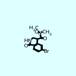 CON(C)C(=O)C1CNC(=O)c2ccc(Br)cc21